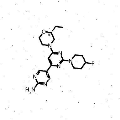 CC[C@H]1CN(c2cc(-c3cnc(N)nc3)nc(N3CCC(F)CC3)n2)CCO1